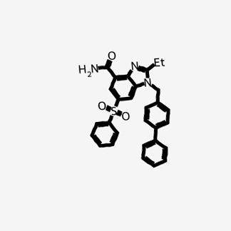 CCc1nc2c(C(N)=O)cc(S(=O)(=O)c3ccccc3)cc2n1Cc1ccc(-c2ccccc2)cc1